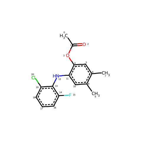 CC(=O)Oc1cc(C)c(C)cc1Nc1c(F)cccc1Cl